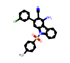 Cc1ccc(S(=O)(=O)n2c3ccccc3c3c(N)c(C#N)c(-c4cccc(Cl)c4)cc32)cc1